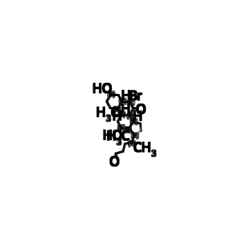 C[C@H](CCC=O)[C@H]1CC[C@H]2[C@@H]3C(=O)[C@H](Br)[C@@H]4C[C@H](O)CC[C@]4(C)[C@H]3C[C@H](O)[C@]12C